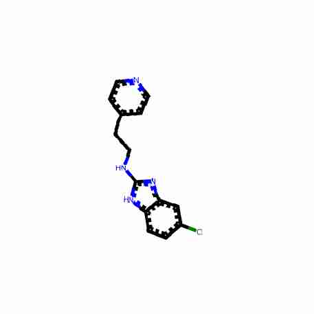 Clc1ccc2[nH]c(NCCc3ccncc3)nc2c1